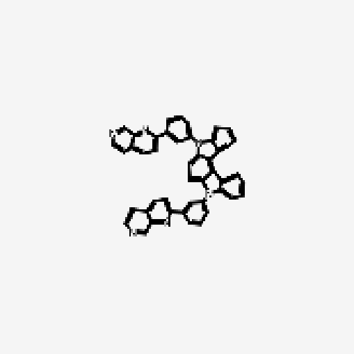 c1cc(-c2ccc3ccncc3n2)cc(-n2c3ccccc3c3c4c5ccccc5n(-c5cccc(-c6ccc7ccncc7n6)c5)c4ccc32)c1